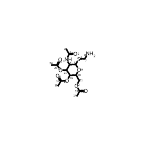 CC(=O)NC1C(SCN)OC(COC(C)=O)C(OC(C)=O)C1OC(C)=O